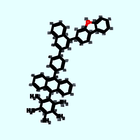 Bc1c(B)c(B)c(-c2c3ccccc3c(-c3ccc(-c4cc(-c5ccc6c(c5)oc5ccccc56)c5ccccc5c4)cc3)c3ccccc23)c(B)c1B